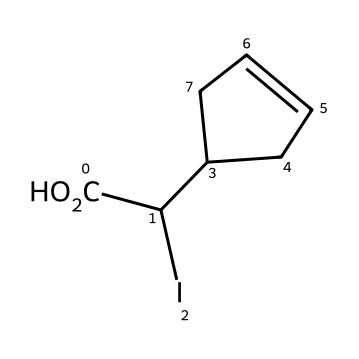 O=C(O)C(I)C1CC=CC1